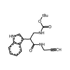 C#CCNC(=O)C(CNC(=O)OC(C)(C)C)c1c[nH]c2ccccc12